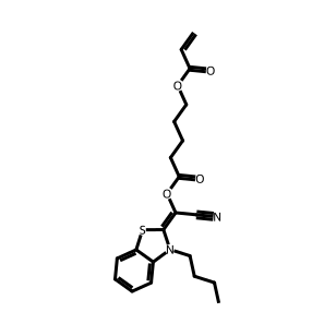 C=CC(=O)OCCCCC(=O)O/C(C#N)=C1\Sc2ccccc2N1CCCC